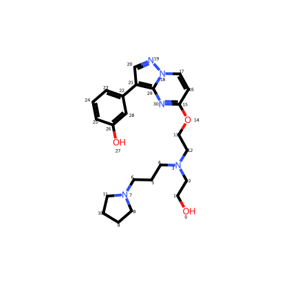 OCCN(CCCN1CCCC1)CCOc1ccn2ncc(-c3cccc(O)c3)c2n1